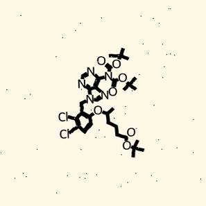 CC(CCCC(=O)OC(C)(C)C)Oc1ccc(Cl)c(Cl)c1Cn1cnc2c(N(C(=O)OC(C)(C)C)C(=O)OC(C)(C)C)ncnc21